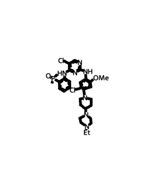 CCN1CCN(C2CCN(c3cc(OC)c(Nc4ncc(Cl)c(Nc5ccccc5P(C)(C)=O)n4)cc3Cl)CC2)CC1